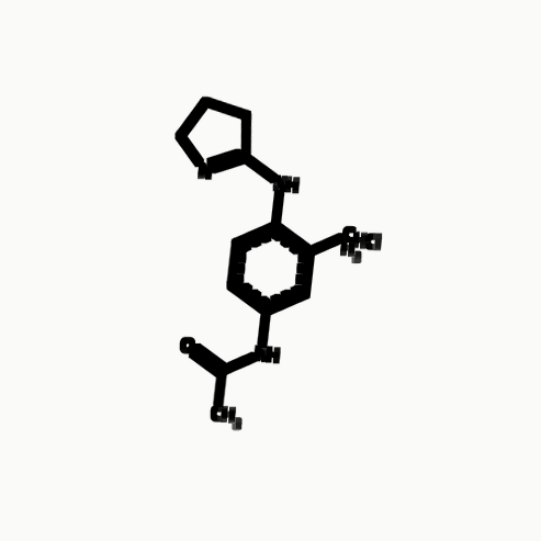 CC(=O)Nc1ccc(NC2=NCCC2)c(C)c1.Cl